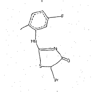 Cc1ccc(F)cc1NC1=NC(=O)C(C(C)C)S1